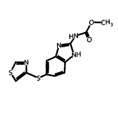 COC(=O)Nc1nc2cc(Sc3cscn3)ccc2[nH]1